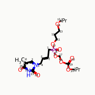 Cc1cn(C/C=C/CP(=O)(OCCCOC(C)C)OCOC(=O)OC(C)C)c(=O)[nH]c1=O